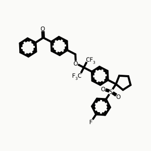 O=C(c1ccccc1)c1ccc(COC(c2ccc(C3(S(=O)(=O)c4ccc(F)cc4)CCCC3)cc2)(C(F)(F)F)C(F)(F)F)cc1